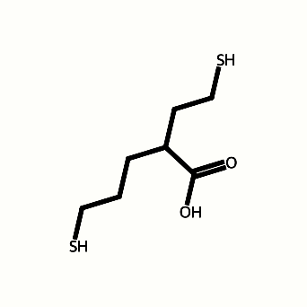 O=C(O)C(CCS)CCCS